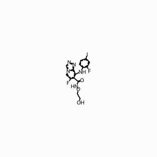 O=C(NOCCO)c1c(F)cn2cnnc2c1Nc1ccc(I)cc1F